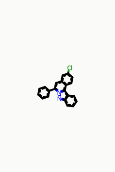 Clc1ccc2c(c1)cc(-c1ccccc1)n1nc3ccccc3c21